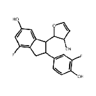 N#CC1C=COC1C1c2cc(O)cc(F)c2CC1c1ccc(O)c(F)c1